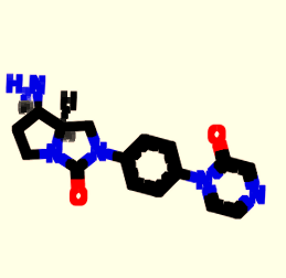 N[C@@H]1CCN2C(=O)N(c3ccc(-n4ccncc4=O)cc3)C[C@H]12